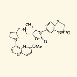 COc1ccc2nccc(N3CCC(CN(C)C[C@@H]4CN(c5ccc6c(c5)NC(=O)CS6)C(=O)O4)C3)c2n1